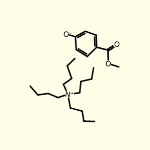 CCCC[N+](CCCC)(CCCC)CCCC.COC(=O)c1ccc([O-])cc1